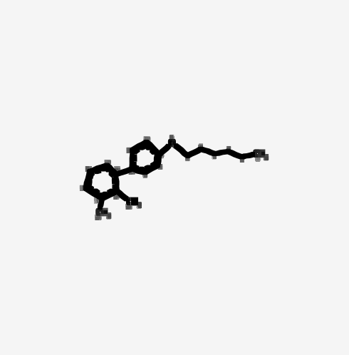 CCCCCCOc1ccc(-c2cccc(C)c2C)cc1